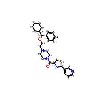 O=C(C1CSC(c2cccnc2)N1)N1CCN(CCOC(c2ccccc2)C2CCCCC2)CC1